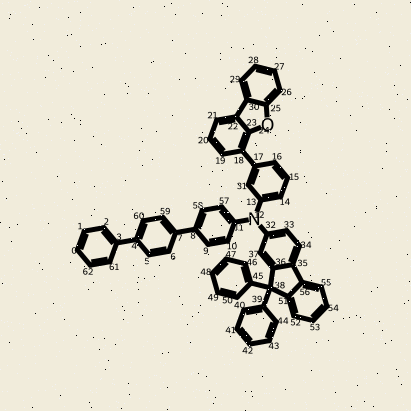 c1ccc(-c2ccc(-c3ccc(N(c4cccc(-c5cccc6c5oc5ccccc56)c4)c4ccc5c(c4)C(c4ccccc4)(c4ccccc4)c4ccccc4-5)cc3)cc2)cc1